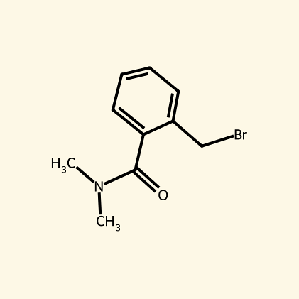 CN(C)C(=O)c1ccccc1CBr